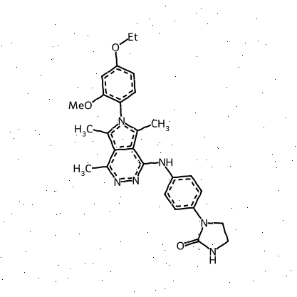 CCOc1ccc(-n2c(C)c3c(C)nnc(Nc4ccc(N5CCNC5=O)cc4)c3c2C)c(OC)c1